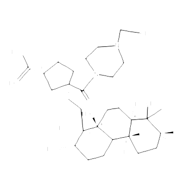 C=C(C)[C@@H]1CC[C@@](CC[C@]2(C)[C@@H](C)CC[C@@H]3[C@@]4(C)CC[C@H](O)C(C)(C)[C@@H]4CC[C@]32C)(C(=O)N2CCN(CC)CC2)C1